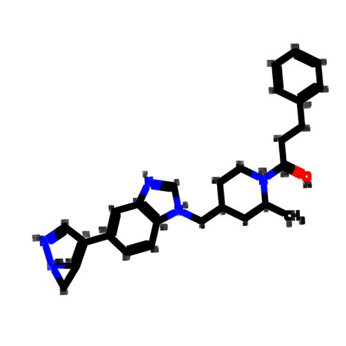 CC1CC(Cn2cnc3cc(-c4cnn5c4C5)ccc32)CCN1C(=O)CCc1ccccc1